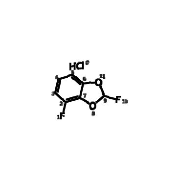 Cl.Fc1cccc2c1OC(F)O2